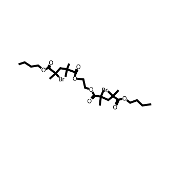 CCCCOC(=O)C(C)(Br)CC(C)(C)C(=O)OCCOC(=O)C(C)(C)CC(C)(Br)C(=O)OCCCC